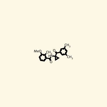 COc1cccc(C(=O)NC2(C(=O)c3cc(C)cc(C)c3)CC2)c1C